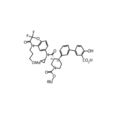 COCCCN1C(=O)C(F)(F)Oc2ccc(N(C(=O)[C@H]3CN(C(=O)OC(C)(C)C)CC[C@@H]3c3cccc(-c4ccc(O)c(C(=O)O)c4)c3)C3CC3)cc21